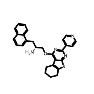 N[C@@H](COc1nc(-c2ccncc2)nc2sc3c(c12)CCCC3)Cc1cccc2ccccc12